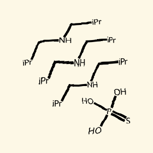 CC(C)CNCC(C)C.CC(C)CNCC(C)C.CC(C)CNCC(C)C.OP(O)(O)=S